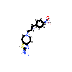 Nc1nc2c(s1)CCN(C/C=C/c1ccc([N+](=O)[O-])cc1)CC2